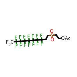 CC(=O)OCCS(=O)(=O)CCC(F)(F)C(F)(F)C(F)(F)C(F)(F)C(F)(F)C(F)(F)C(F)(F)C(F)(F)F